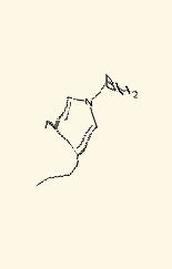 Bn1cnc(CC)c1